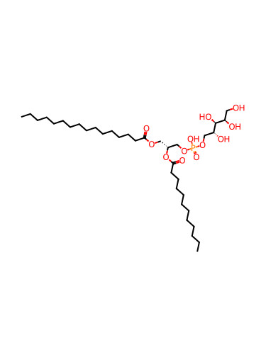 CCCCCCCCCCCCCCCC(=O)OC[C@H](COP(=O)(O)OC[C@@H](O)[C@@H](O)[C@H](O)CO)OC(=O)CCCCCCCCCCC